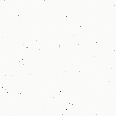 CC(C)(C)NC(=O)OC1CCCNC1